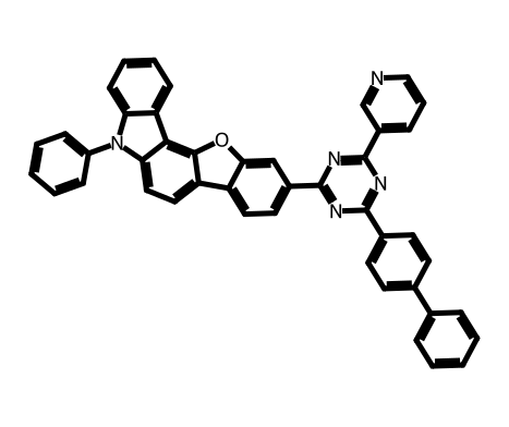 c1ccc(-c2ccc(-c3nc(-c4cccnc4)nc(-c4ccc5c(c4)oc4c5ccc5c4c4ccccc4n5-c4ccccc4)n3)cc2)cc1